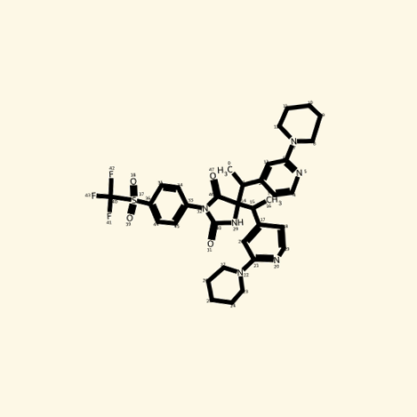 CC(c1ccnc(N2CCCCC2)c1)C1(C(C)c2ccnc(N3CCCCC3)c2)NC(=O)N(c2ccc(S(=O)(=O)C(F)(F)F)cc2)C1=O